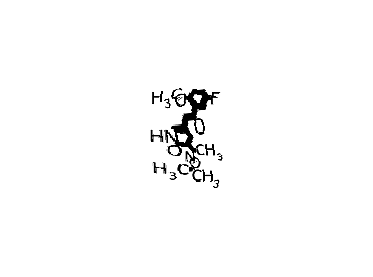 COc1ccc(F)cc1C(=O)Cc1c[nH]c(=O)c(/C(C)=N/OC(C)C)c1